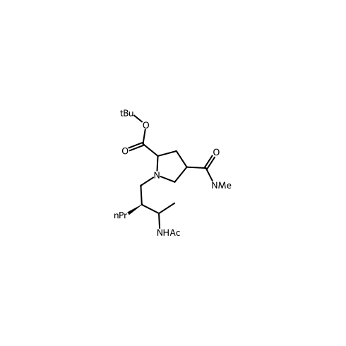 CCC[C@@H](CN1CC(C(=O)NC)CC1C(=O)OC(C)(C)C)C(C)NC(C)=O